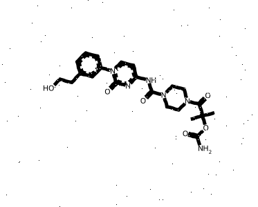 CC(C)(OC(N)=O)C(=O)N1CCN(C(=O)Nc2ccn(-c3cccc(CCO)c3)c(=O)n2)CC1